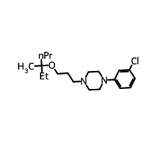 CCCC(C)(CC)OCCCN1CCN(c2cccc(Cl)c2)CC1